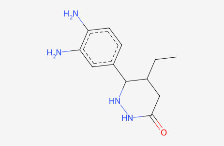 CCC1CC(=O)NNC1c1ccc(N)c(N)c1